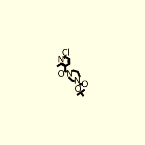 Cc1nc(Cl)ccc1C(=O)N1CCCN(C(=O)OC(C)(C)C)CC1